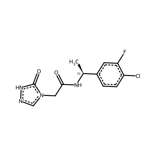 C[C@H](NC(=O)Cn1cn[nH]c1=O)c1ccc(Cl)c(F)c1